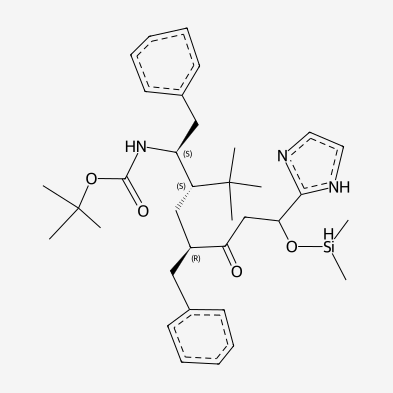 C[SiH](C)OC(CC(=O)[C@@H](Cc1ccccc1)C[C@H]([C@H](Cc1ccccc1)NC(=O)OC(C)(C)C)C(C)(C)C)c1ncc[nH]1